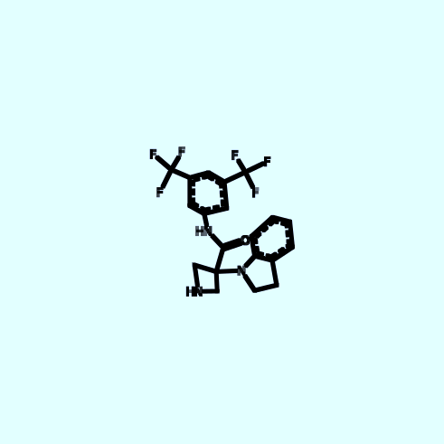 O=C(Nc1cc(C(F)(F)F)cc(C(F)(F)F)c1)C1(N2CCc3ccccc32)CNC1